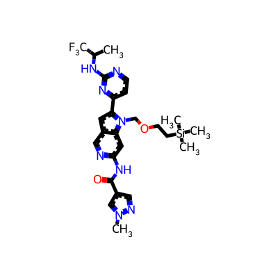 CC(Nc1nccc(-c2cc3cnc(NC(=O)c4cnn(C)c4)cc3n2COCC[Si](C)(C)C)n1)C(F)(F)F